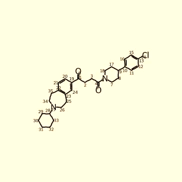 O=C(CCC(=O)N1CCC(c2ccc(Cl)cc2)CC1)c1ccc2c(c1)CCN(C1CCCCC1)CC2